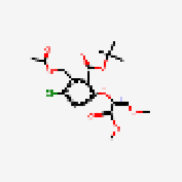 CO/C=C(/Oc1ccc(Cl)c(COC(C)=O)c1C(=O)OC(C)(C)C)C(=O)OC